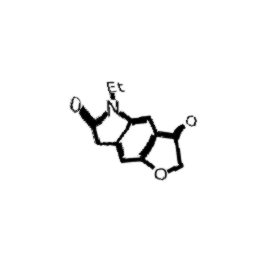 CCN1C(=O)Cc2cc3c(cc21)C(=O)CO3